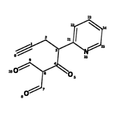 C#CCC(C(=O)C(C=O)C=O)c1ccccn1